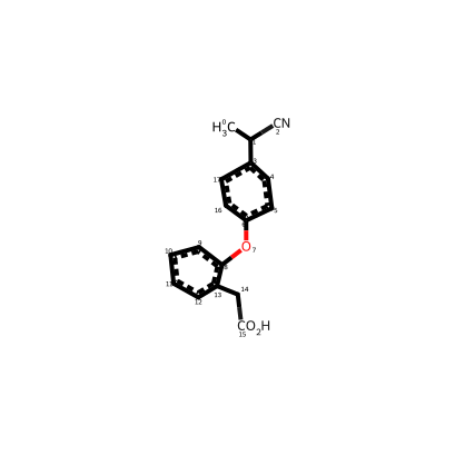 CC(C#N)c1ccc(Oc2ccccc2CC(=O)O)cc1